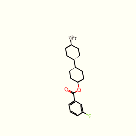 CCC[C@H]1CC[C@H]([C@H]2CC[C@H](OC(=O)c3cccc(F)c3)CC2)CC1